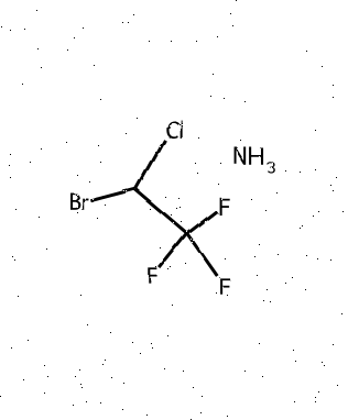 FC(F)(F)C(Cl)Br.N